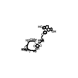 CO[C@@H]1/C=C\C=C(/C)C(=O)NC2=CC(=O)C(NCc3cn(CCOc4ccc([C@H]5C[C@@]6(C)C(CC[C@@H]6O)C6CCc7cc(O)ccc7C65)cc4)nn3)=C(C[C@H](C)C[C@@H](OC)[C@@H](O)[C@H](C)/C=C(\C)[C@H]1OC(N)=O)C2=O